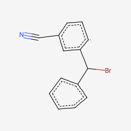 N#Cc1cc[c]c(C(Br)c2ccccc2)c1